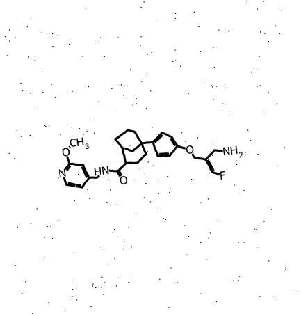 COc1cc(CNC(=O)C2CCC3(c4ccc(OC/C(=C/F)CN)cc4)CCCC2C3)ccn1